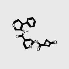 O=C1CC(C(=O)Nc2cc(C(=O)Nc3cnccc3-c3ccccc3)ccn2)C1